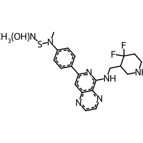 CN(O)SN(C)c1ccc(-c2cc3nccnc3c(NCC3CNCCC3(F)F)n2)cc1